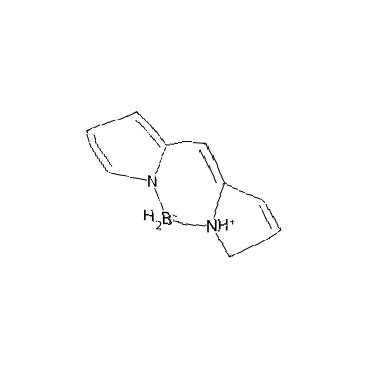 [BH2-]1n2cccc2C=C2C=CC[NH+]12